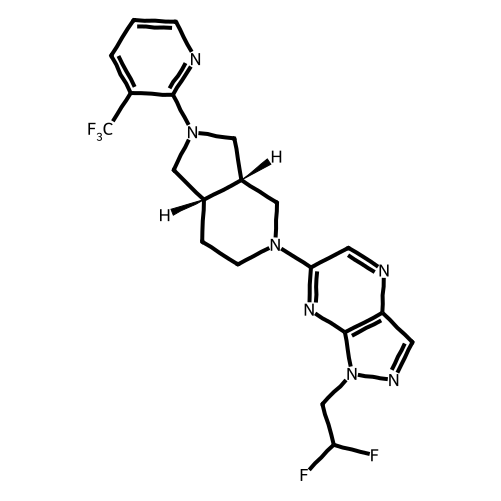 FC(F)Cn1ncc2ncc(N3CC[C@@H]4CN(c5ncccc5C(F)(F)F)C[C@@H]4C3)nc21